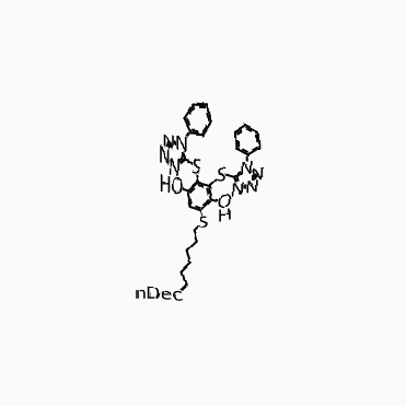 CCCCCCCCCCCCCCCCSc1cc(O)c(Sc2nnnn2-c2ccccc2)c(Sc2nnnn2-c2ccccc2)c1O